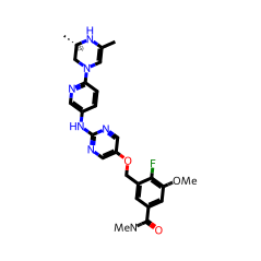 CNC(=O)c1cc(COc2cnc(Nc3ccc(N4C=C(C)N[C@@H](C)C4)nc3)nc2)c(F)c(OC)c1